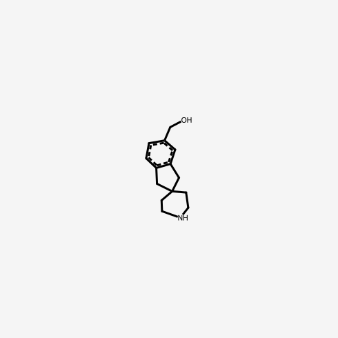 OCc1ccc2c(c1)CC1(CCNCC1)C2